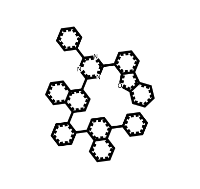 c1ccc(-c2nc(-c3ccc(-c4ccccc4-c4ccc(-c5ccccc5)c5ccccc45)c4ccccc34)nc(-c3cccc4c3oc3ccccc34)n2)cc1